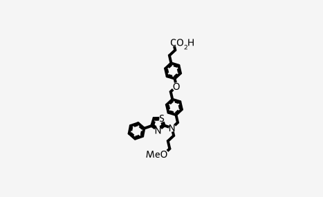 COCCCN(Cc1ccc(COc2ccc(CCC(=O)O)cc2)cc1)c1nc(-c2ccccc2)cs1